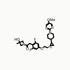 COc1cnc(N2CCC(C3C[C@H]3CCOc3cc(F)c(CC(=O)N4CC(C)(O)C4)c(F)c3)CC2)nc1